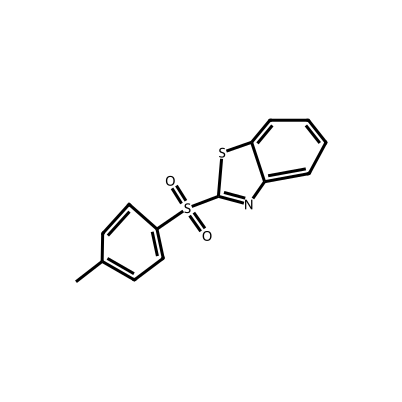 Cc1ccc(S(=O)(=O)c2nc3ccccc3s2)cc1